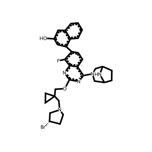 Oc1cc(-c2ccc3c(N4CC5CCC(C4)N5)nc(OCC4(CN5CC[C@H](Br)C5)CC4)nc3c2F)c2ccccc2c1